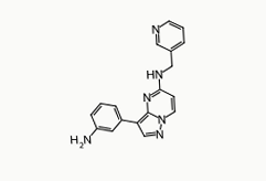 Nc1cccc(-c2cnn3ccc(NCc4cccnc4)nc23)c1